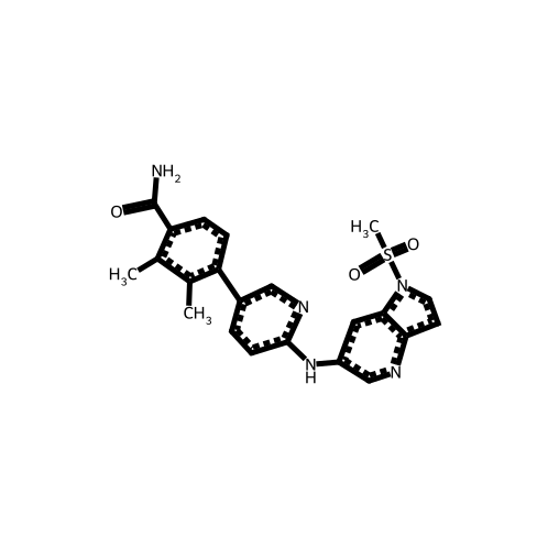 Cc1c(C(N)=O)ccc(-c2ccc(Nc3cnc4ccn(S(C)(=O)=O)c4c3)nc2)c1C